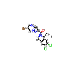 CC1c2cc(Cl)c(Cl)cc2CCN1C(=O)c1cc2ncc(Br)cn2n1